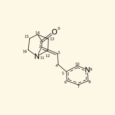 O=C1C(=CCc2cccnc2)N2CCC1CC2